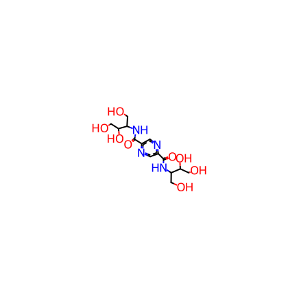 O=C(NC(CO)C(O)CO)c1cnc(C(=O)NC(CO)C(O)CO)cn1